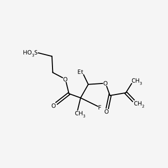 C=C(C)C(=O)OC(CC)C(C)(F)C(=O)OCCS(=O)(=O)O